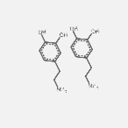 NCCc1ccc(O)c(O)c1.NCCc1ccc(O)c(O)c1